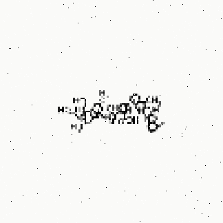 Cc1c(Nc2nc3cccc(F)c3s2)nnc2c1CCCN2c1ccc(-c2cnn(CC34CC5(C)CC(C)(CC(CC(C)N(CCCO)CCCO)(C5)C3)C4)c2C)c(C(=O)O)n1